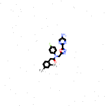 Nc1cnc(-c2nnc(CN(C(=O)Cc3ccc(C(F)(F)F)cc3C(F)(F)F)c3ccc(F)cc3)o2)nc1